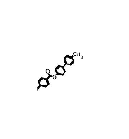 Cc1ccc(-c2ccc(OC(=O)c3ccc(I)cc3)cc2)cc1